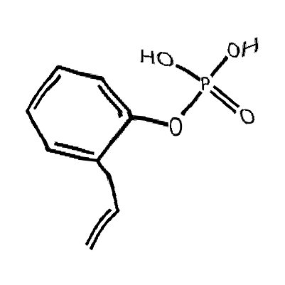 C=Cc1ccccc1OP(=O)(O)O